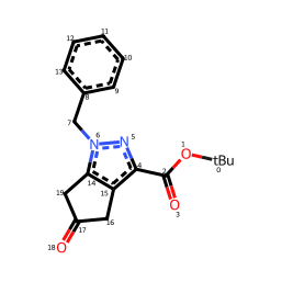 CC(C)(C)OC(=O)c1nn(Cc2ccccc2)c2c1CC(=O)C2